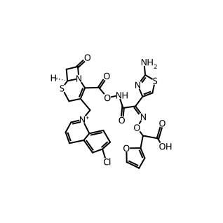 Nc1nc(/C(=N/OC(C(=O)O)c2ccco2)C(=O)NOC(=O)C2=C(C[n+]3cccc4cc(Cl)ccc43)CS[C@H]3CC(=O)N23)cs1